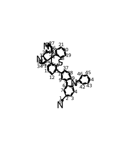 N#Cc1ccc2c(c1)c1cc(-c3cccc4c3Sc3ccccc3C43c4cccnc4-c4ncccc43)ccc1n2-c1ccccc1